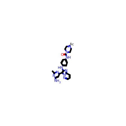 CC(=O)N1CCN(C(=O)Nc2ccc(Nc3nc4cccnn4c3-c3cc(N)nc(C)n3)cc2)CC1